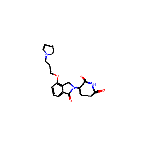 O=C1CCC(N2Cc3c(OCCCN4CCCC4)cccc3C2=O)C(=O)N1